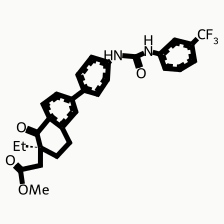 CC[C@@]1(CC(=O)OC)CCc2cc(-c3ccc(NC(=O)Nc4cccc(C(F)(F)F)c4)cc3)ccc2C1=O